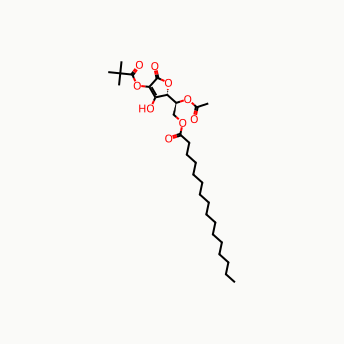 CCCCCCCCCCCCCCCC(=O)OC[C@H](OC(C)=O)[C@H]1OC(=O)C(OC(=O)C(C)(C)C)=C1O